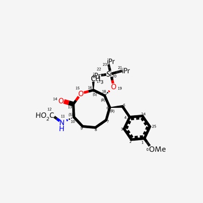 COc1ccc(C[C@H]2CCC[C@H](NC(=O)O)C(=O)O[C@@H](C)[C@@H]2O[Si](C(C)C)(C(C)C)C(C)C)cc1